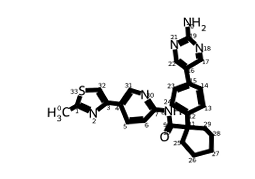 Cc1nc(-c2ccc(NC(=O)C3(c4ccc(-c5cnc(N)nc5)cc4)CCCCC3)nc2)cs1